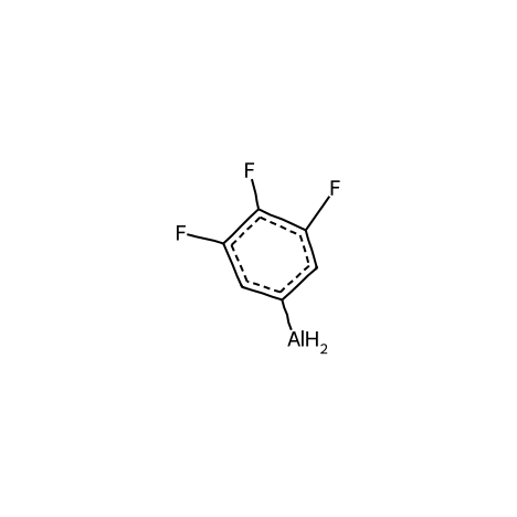 Fc1c[c]([AlH2])cc(F)c1F